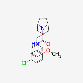 COc1ccc(Cl)cc1NC(=O)C1CC2CCC(C1)N2CCc1ccccc1